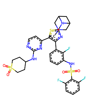 CN1CC2CC(C1)N2c1nc(-c2cccc(NS(=O)(=O)c3c(F)cccc3F)c2F)c(-c2ccnc(NC3CCS(=O)(=O)CC3)n2)s1